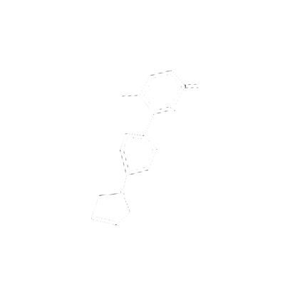 CCc1ccc(=O)[nH]c1-c1ccc(N2CC=CC2)cc1